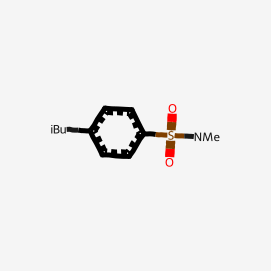 CCC(C)c1ccc(S(=O)(=O)NC)cc1